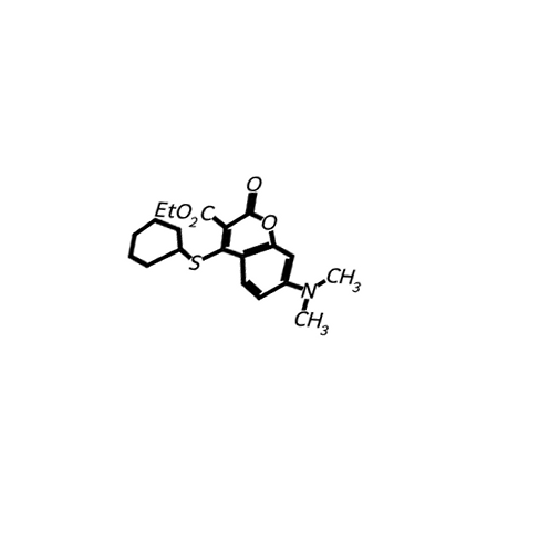 CCOC(=O)c1c(SC2CCCCC2)c2ccc(N(C)C)cc2oc1=O